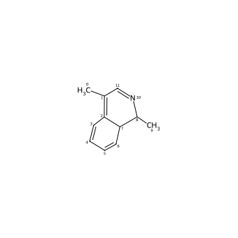 CC1=C2C=CC=CC2C(C)N=C1